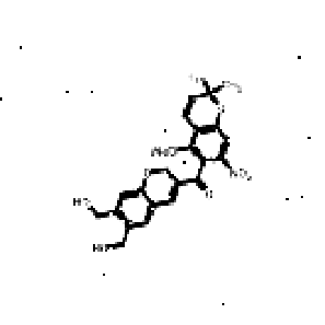 COc1c2c(cc([N+](=O)[O-])c1C(=O)C1=Cc3cc(CO)c(CO)cc3OC1)OC(C)(C)C=C2